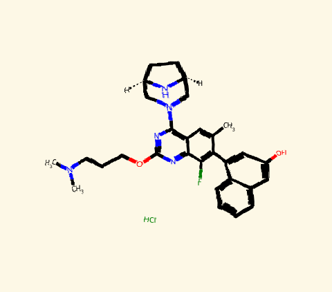 Cc1cc2c(N3C[C@H]4CC[C@@H](C3)N4)nc(OCCCN(C)C)nc2c(F)c1-c1cc(O)cc2ccccc12.Cl